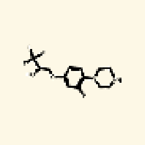 OC(COc1ccc(N2CCNCC2)c(F)c1)C(F)(F)F